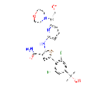 CC(C)(O)c1cc(F)c(-c2cc(C(N)=O)c(Nc3cccc([C@@H](CO)N4CCOCC4)n3)s2)c(F)c1